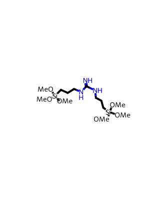 CO[Si](CCCNC(=N)NCCC[Si](OC)(OC)OC)(OC)OC